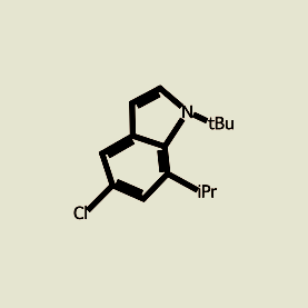 CC(C)c1cc(Cl)cc2ccn(C(C)(C)C)c12